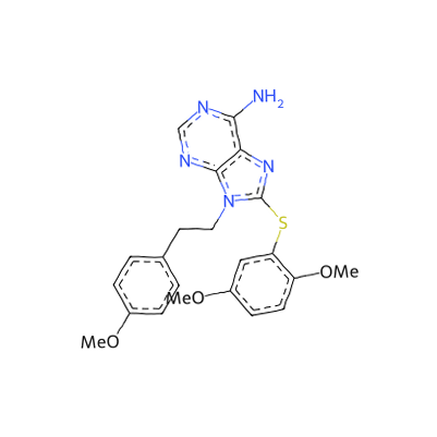 COc1ccc(CCn2c(Sc3cc(OC)ccc3OC)nc3c(N)ncnc32)cc1